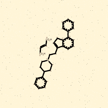 C1=C(CCN2CCC(c3ccccc3)CC2)c2cccc(-c3ccccc3)c2C1.O=C(O)C=CC(=O)O